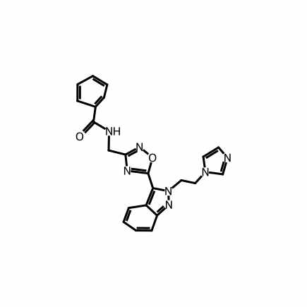 O=C(NCc1noc(-c2c3ccccc3nn2CCn2ccnc2)n1)c1ccccc1